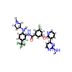 CNc1nccc(-c2cccnc2Oc2cc(F)cc(C(=O)Nc3cc(C(F)(F)F)ccc3N(C)[C@H]3CCN(C)C3)c2)n1